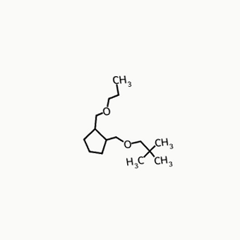 CCCOCC1CCCC1COCC(C)(C)C